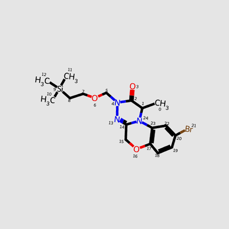 CC1C(=O)N(COCC[Si](C)(C)C)N=C2COc3ccc(Br)cc3N21